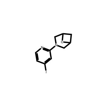 Ic1ccnc(N2CC3CC(C2)O3)c1